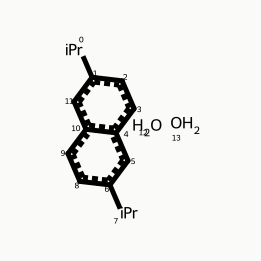 CC(C)c1ccc2cc(C(C)C)ccc2c1.O.O